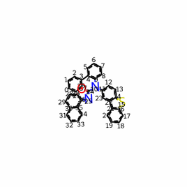 c1ccc(-c2ccccc2N(c2ccc3sc4ccccc4c3c2)c2nc3c(ccc4ccccc43)o2)cc1